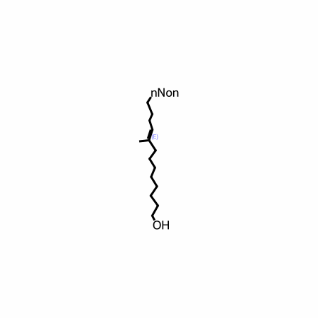 CCCCCCCCCCCC/C=C(\C)CCCCCCCCO